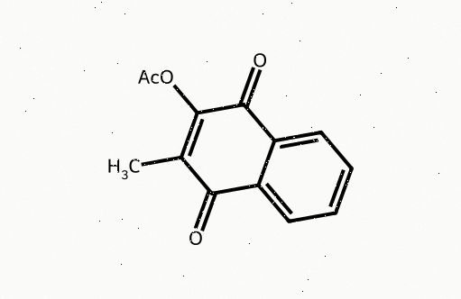 CC(=O)OC1=C(C)C(=O)c2ccccc2C1=O